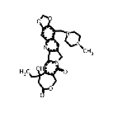 CCC1(O)CC(=O)OCc2c1cc1n(c2=O)Cc2cc3c(CN4CCN(C)CC4)c4c(cc3nc2-1)OCO4